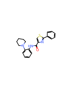 O=C(Nc1ccccc1N1CCCCC1)c1csc(-c2ccccc2)n1